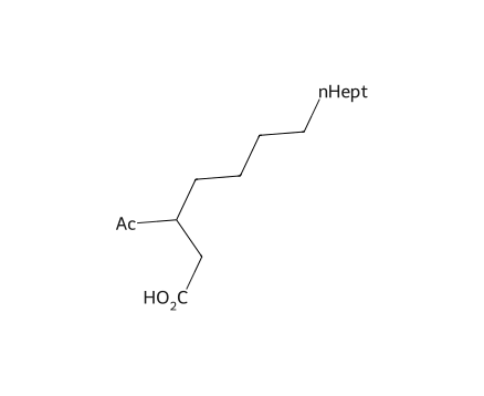 CCCCCCCCCCCC(CC(=O)O)C(C)=O